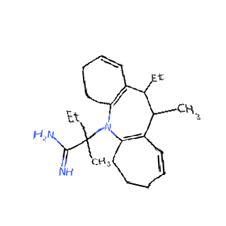 CCC1C2=C(CCC=C2)N(C(C)(CC)C(=N)N)C2=C(C=CCCC2)C1C